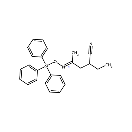 CCC(C#N)C/C(C)=N/O[Si](c1ccccc1)(c1ccccc1)c1ccccc1